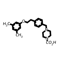 Cc1cc(C)cc(OCCc2ccc(CN3CCN(C(=O)O)CC3)cc2)c1